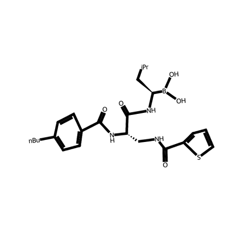 CCCCc1ccc(C(=O)N[C@@H](CNC(=O)c2cccs2)C(=O)N[C@@H](CC(C)C)B(O)O)cc1